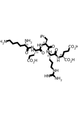 CC(C)C[C@H](NC(=O)[C@H](CCC(=O)O)NC(=O)[C@@H](N)CCCCN)C(=O)N[C@@H](CCCNC(=N)N)C(=O)N[C@H](CCC(=O)O)C(=O)O